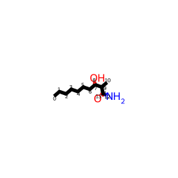 CCCCCCCC(O)C(C)C(N)=O